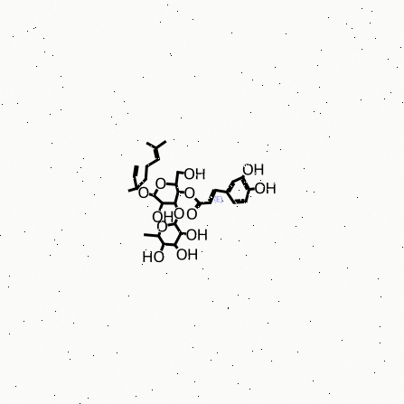 C=CC(C)(CCC=C(C)C)OC1OC(CO)C(OC(=O)/C=C/c2ccc(O)c(O)c2)C(OC2OC(C)C(O)C(O)C2O)C1O